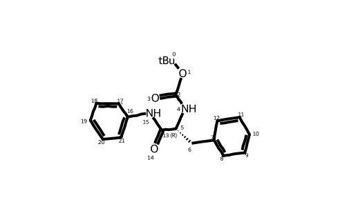 CC(C)(C)OC(=O)N[C@H](Cc1ccccc1)C(=O)Nc1[c]cccc1